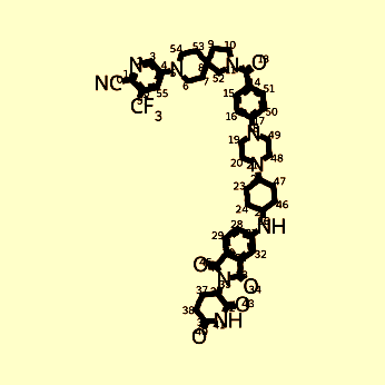 N#Cc1ncc(N2CCC3(CCN(C(=O)c4ccc(N5CCN(C6CCC(Nc7ccc8c(c7)C(=O)N(C7CCC(=O)NC7=O)C8=O)CC6)CC5)cc4)C3)CC2)cc1C(F)(F)F